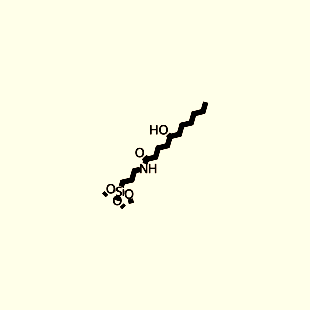 CCCCCCC(O)CCCC(=O)NCCC[Si](OC)(OC)OC